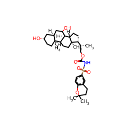 C[C@H](COC(=O)NS(=O)(=O)c1ccc2c(c1)CCC(C)(C)O2)[C@H]1CC[C@H]2[C@@H]3[C@H](O)C[C@@H]4C[C@@H](O)CC[C@]4(C)[C@H]3CC[C@]12C